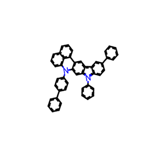 c1ccc(-c2ccc(N3c4cc5c(cc4-c4cccc6cccc3c46)c3cc(-c4ccccc4)ccc3n5-c3ccccc3)cc2)cc1